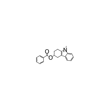 Cn1c2c(c3ccccc31)CC(OC(=O)c1ccccc1)CC2